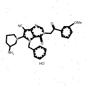 COc1cccc(C(=O)Cn2cnc3c(C#N)c(N4CCCC(N)C4)n(Cc4ccccc4)c3c2=O)c1.Cl